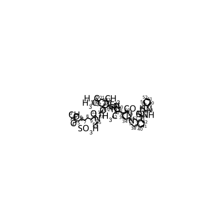 C=CS(=O)(=O)CCCCCC(=O)N(CCOC12CC(C)(C)CC(C)(CC(CC)(Cn3ncc(-c4ccc(N5CCc6cccc(C(=O)Nc7nc8ccccc8s7)c6C5)nc4C(=O)O)c3C)C1)C2)CCS(=O)(=O)O